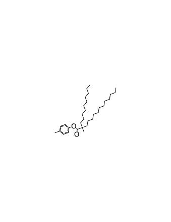 CCCCCCCCCCCCC(C)(CCCCCCCCCC)C(=O)Oc1ccc(C)cc1